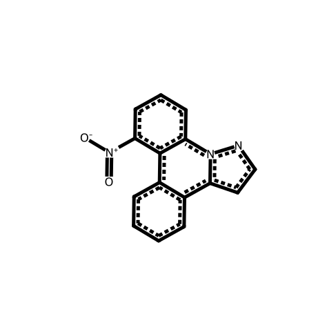 O=[N+]([O-])c1cccc2c1c1ccccc1c1ccnn12